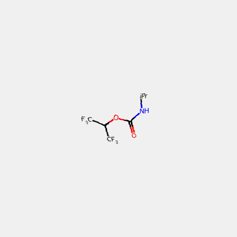 CC(C)NC(=O)OC(C(F)(F)F)C(F)(F)F